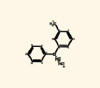 Cc1cccc(Oc2ccccc2)c1.Cl.Cl